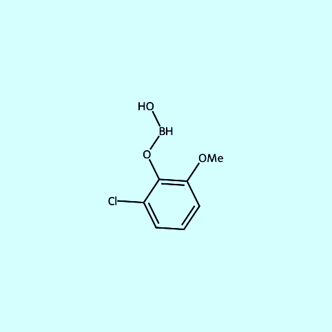 COc1cccc(Cl)c1OBO